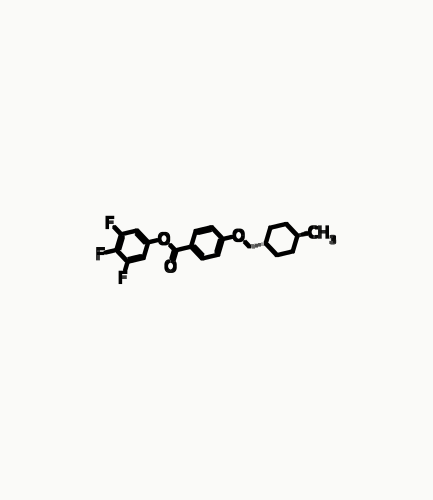 C[C@H]1CC[C@H](COc2ccc(C(=O)Oc3cc(F)c(F)c(F)c3)cc2)CC1